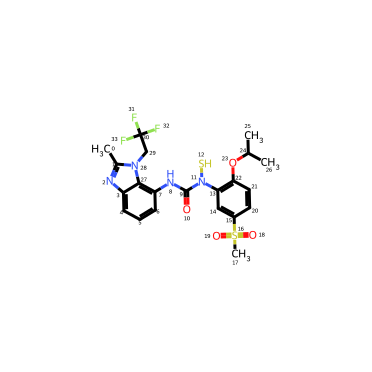 Cc1nc2cccc(NC(=O)N(S)c3cc(S(C)(=O)=O)ccc3OC(C)C)c2n1CC(F)(F)F